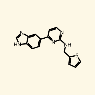 c1csc(CNc2nccc(-c3ccc4[nH]cnc4c3)n2)c1